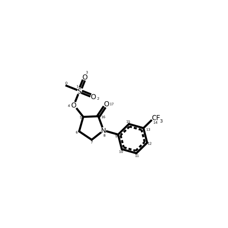 CS(=O)(=O)OC1CCN(c2cccc(C(F)(F)F)c2)C1=O